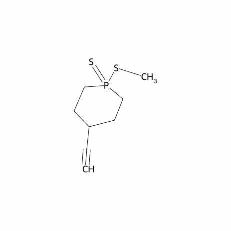 C#CC1CCP(=S)(SC)CC1